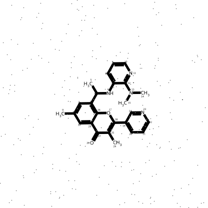 Cc1cc(C(C)Nc2cccnc2N(C)C)c2oc(-c3cccnc3)c(C)c(=O)c2c1